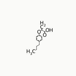 C=C(Oc1ccc(CCCC)cc1)C(=O)O